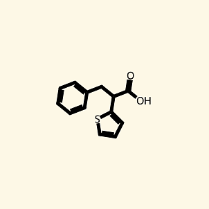 O=C(O)C(Cc1ccccc1)c1cccs1